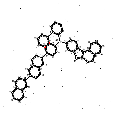 c1ccc(-c2ccccc2N(c2ccc(-c3ccc4cc(-c5ccc6ccccc6c5)ccc4c3)cc2)c2ccc3c(c2)oc2ccc4ccccc4c23)cc1